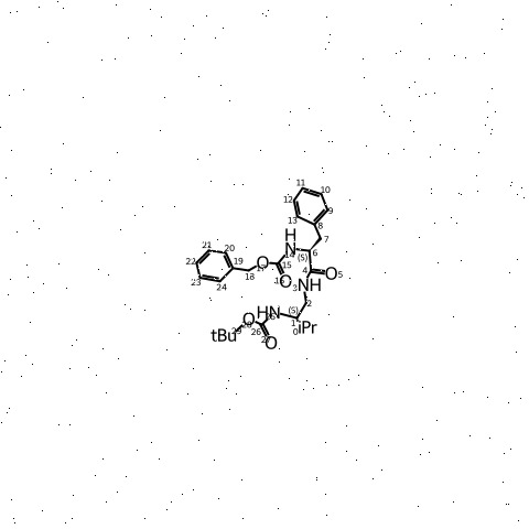 CC(C)[C@@H](CNC(=O)[C@H](Cc1ccccc1)NC(=O)OCc1ccccc1)NC(=O)OC(C)(C)C